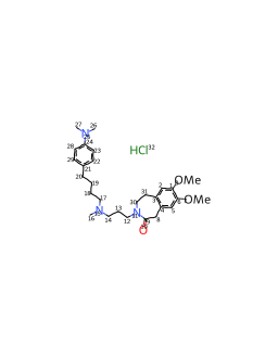 COc1cc2c(cc1OC)CC(=O)N(CCCN(C)CCCCc1ccc(N(C)C)cc1)CC2.Cl